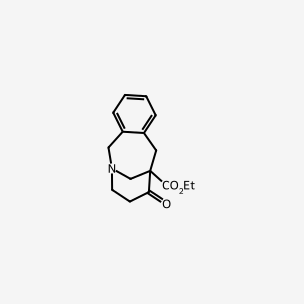 CCOC(=O)C12Cc3ccccc3CN(CCC1=O)C2